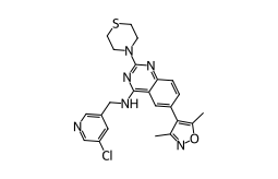 Cc1noc(C)c1-c1ccc2nc(N3CCSCC3)nc(NCc3cncc(Cl)c3)c2c1